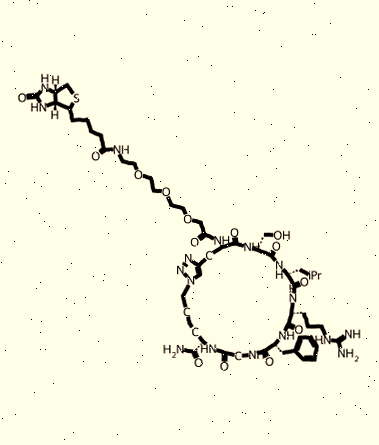 CC(C)C[C@H]1NC(=O)[C@@H](CO)NC(=O)[C@@H](NC(=O)COCCOCCOCCNC(=O)CCCCC2SC[C@H]3NC(=O)N[C@@H]23)Cc2cn(nn2)CCCC[C@@H](C(N)=O)NC(=O)CNC(=O)[C@@H](Cc2ccccc2)NC(=O)[C@@H](CCCNC(=N)N)NC1=O